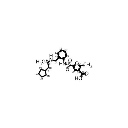 Cc1oc(S(=O)(=O)Nc2ccccc2CN[C@@H](C)CC2CCCC2)cc1C(=O)O